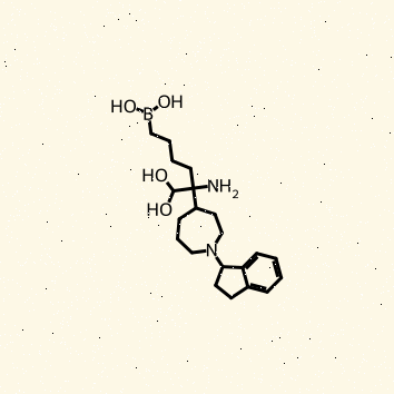 NC(CCCCB(O)O)(C(O)O)C1CCCN(C2CCc3ccccc32)CC1